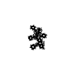 CCC1([C@@H](OCc2ccccc2)[C@H](OCc2ccccc2)[C@@H](OCc2ccccc2)C(=O)c2ccc(Cl)c(C(OCc3ccccc3)c3ccc(C)cc3)c2)COC(C)(C)O1